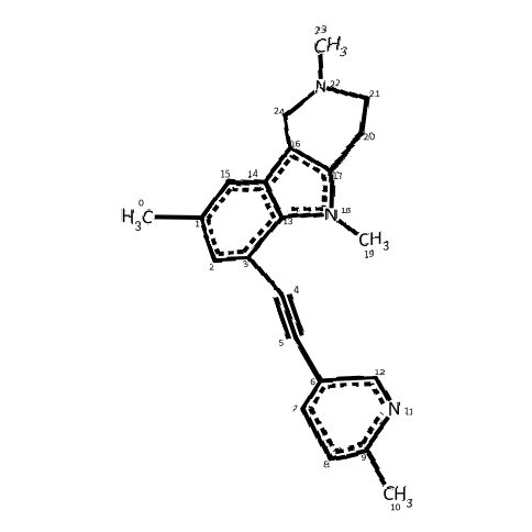 Cc1cc(C#Cc2ccc(C)nc2)c2c(c1)c1c(n2C)CCN(C)C1